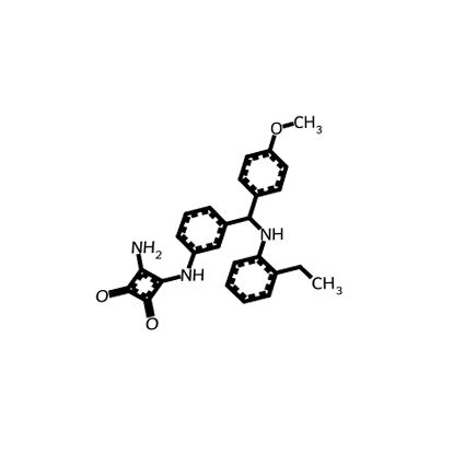 CCc1ccccc1NC(c1ccc(OC)cc1)c1cccc(Nc2c(N)c(=O)c2=O)c1